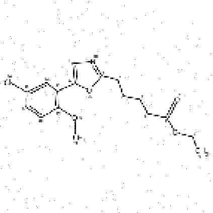 CCOC(=O)CCCCc1ncc(-c2cc(Cl)ccc2OC)o1